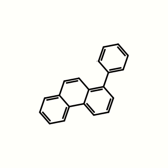 [c]1ccccc1-c1cccc2c1ccc1ccccc12